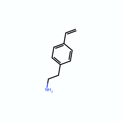 C=Cc1ccc(CCN)cc1